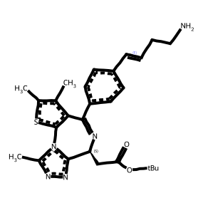 Cc1sc2c(c1C)C(c1ccc(/C=C/CCN)cc1)=N[C@@H](CC(=O)OC(C)(C)C)c1nnc(C)n1-2